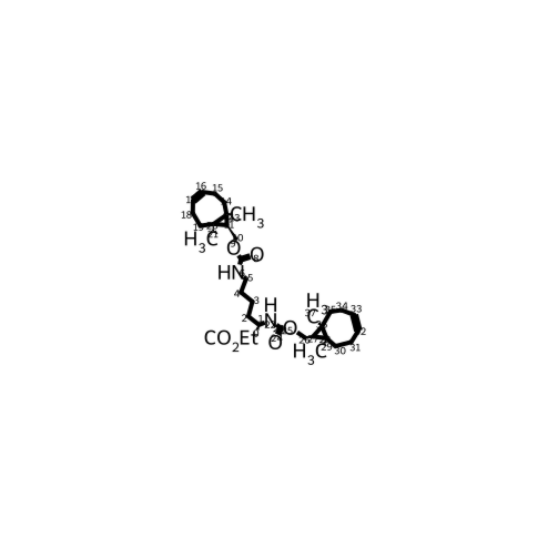 CCOC(=O)[C@@H](CCCCNC(=O)OC[C@@H]1[C@]2(C)CCC#CCC[C@]12C)NC(=O)OC[C@@H]1[C@]2(C)CCC#CCC[C@]12C